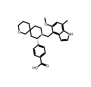 COc1cc(C)c2[nH]ccc2c1CN1CCC2(CCCOC2)C[C@H]1c1ccc(C(=O)O)cc1